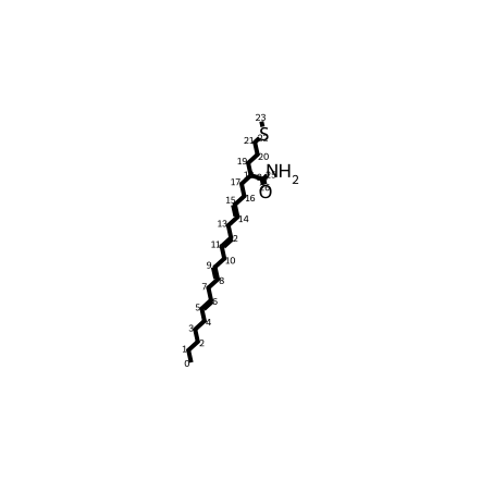 CCCCCC=CCC=CCC=CCC=CCCC(CCCSC)C(N)=O